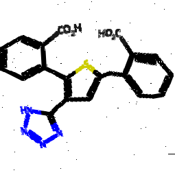 O=C(O)c1ccccc1-c1cc(-c2nnn[nH]2)c(-c2ccccc2C(=O)O)s1